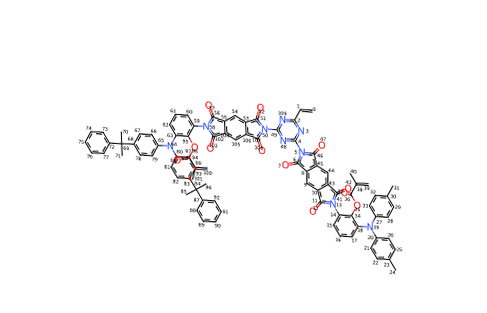 C=Cc1nc(-n2c(=O)c3cc4c(=O)n(-c5cccc(N(c6ccc(C)cc6)c6ccc(C)cc6)c5OC(=O)C(=C)C)c(=O)c4cc3c2=O)nc(-n2c(=O)c3cc4c(=O)n(-c5cccc(N(c6ccc(C(C)(C)c7ccccc7)cc6)c6ccc(C(C)(C)c7ccccc7)cc6)c5OC(=O)C(=C)C)c(=O)c4cc3c2=O)n1